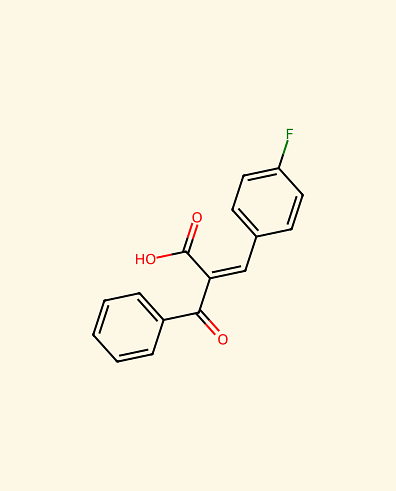 O=C(O)C(=Cc1ccc(F)cc1)C(=O)c1ccccc1